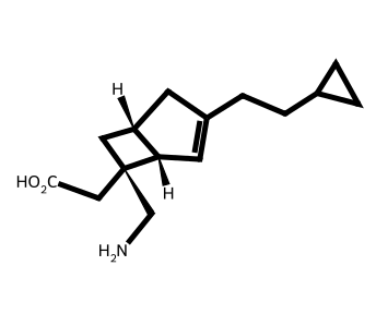 NC[C@@]1(CC(=O)O)C[C@@H]2CC(CCC3CC3)=C[C@@H]21